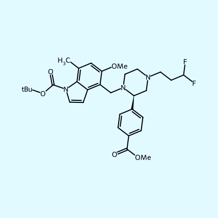 COC(=O)c1ccc([C@@H]2CN(CCC(F)F)CCN2Cc2c(OC)cc(C)c3c2ccn3C(=O)OC(C)(C)C)cc1